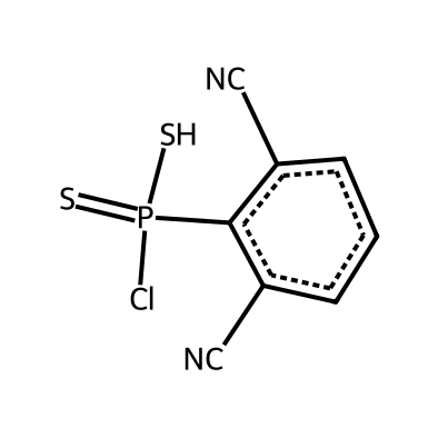 N#Cc1cccc(C#N)c1P(=S)(S)Cl